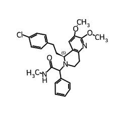 CNC(=O)C(c1ccccc1)N1CCc2nc(OC)c(OC)cc2[C@@H]1CCc1ccc(Cl)cc1